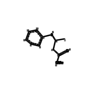 COC(=O)CC(C)Sc1ccccc1